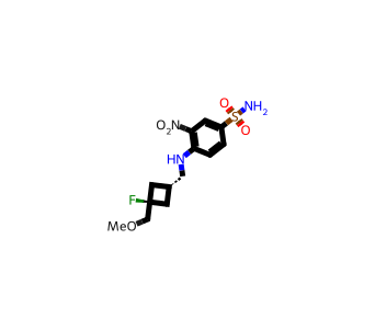 COC[C@]1(F)C[C@H](CNc2ccc(S(N)(=O)=O)cc2[N+](=O)[O-])C1